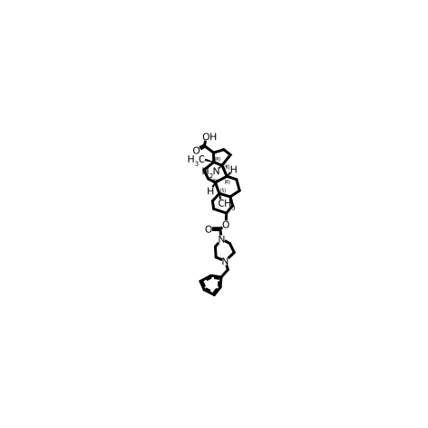 C[C@]12CCC(OC(=O)N3CCN(Cc4ccccc4)CC3)CC1CC[C@@H]1[C@H]2CC[C@]2(C)C(C(=O)O)CC[C@@]12N